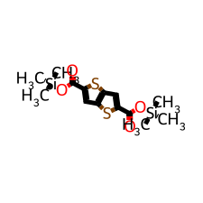 C[Si](C)(C)OC(=O)c1cc2sc(C(=O)O[Si](C)(C)C)cc2s1